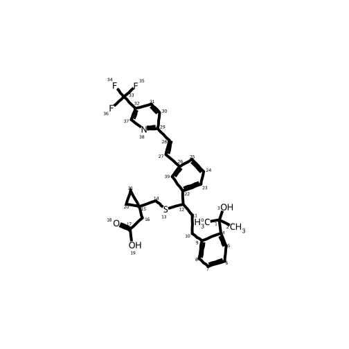 CC(C)(O)c1ccccc1CCC(SCC1(CC(=O)O)CC1)c1cccc(C=Cc2ccc(C(F)(F)F)cn2)c1